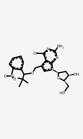 CC(C)(C)C(OCc1cn([C@H]2C[C@@H](O)[C@@H](CO)O2)c2nc(N)nc(Cl)c12)c1ccccc1[N+](=O)[O-]